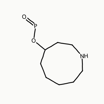 O=POC1CCCCCNCC1